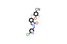 N#Cc1cc(F)c(Oc2cccc3c2C(=O)N(Cc2ccc(Cl)nc2)C3)c(F)c1